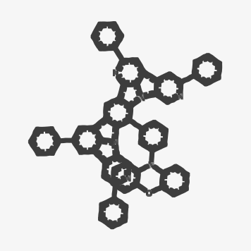 c1ccc(-c2cc3c4cc(-c5ccccc5)ncc4n4c5c(-c6cccc(N7c8ccccc8Oc8ccccc87)c6)c6c(cc5c(c2)c34)c2nc(-c3ccccc3)cc3c4cc(-c5ccccc5)ncc4n6c32)cc1